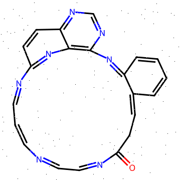 O=C1C/C=c2/cccc/c2=N/c2ncnc3ccc(nc23)\N=C/C=C\N=C/C=N\1